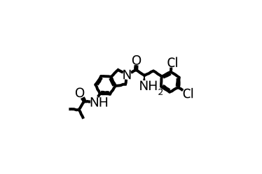 CC(C)C(=O)Nc1ccc2c(c1)CN(C(=O)[C@H](N)Cc1ccc(Cl)cc1Cl)C2